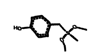 CO[Si](C)(Cc1ccc(O)cc1)OC